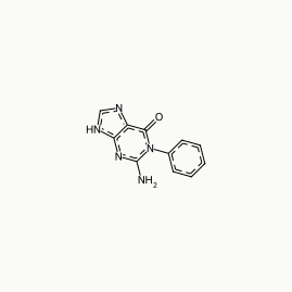 Nc1nc2[nH]cnc2c(=O)n1-c1ccccc1